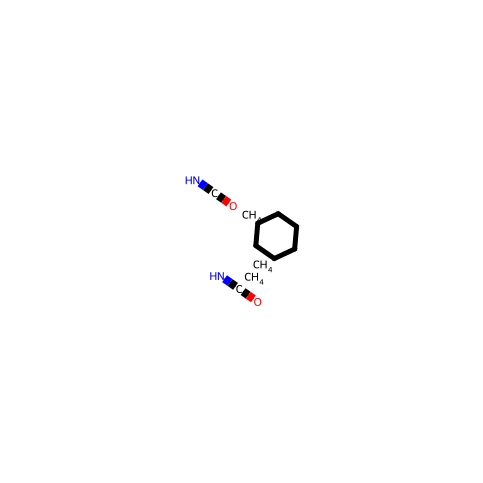 C.C.C.C1CCCCC1.N=C=O.N=C=O